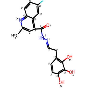 Cc1cc(C(=O)N/N=C/Cc2ccc(O)c(O)c2O)c2cc(F)ccc2n1